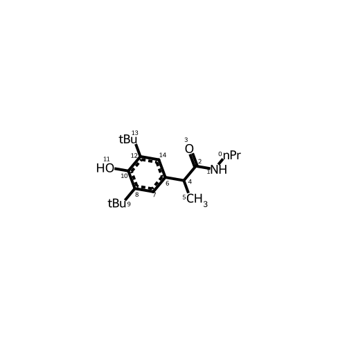 CCCNC(=O)C(C)c1cc(C(C)(C)C)c(O)c(C(C)(C)C)c1